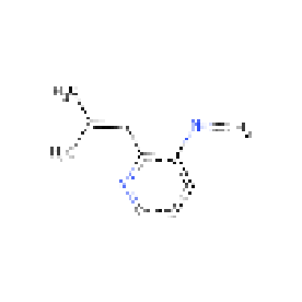 C=Nc1cccnc1C=C(C)C